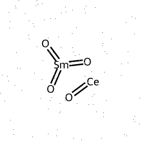 [O]=[Ce].[O]=[Sm](=[O])=[O]